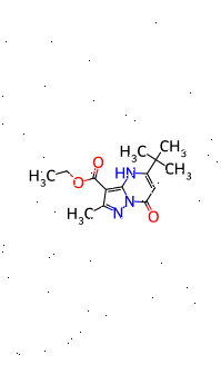 CCOC(=O)c1c(C)nn2c(=O)cc(C(C)(C)C)[nH]c12